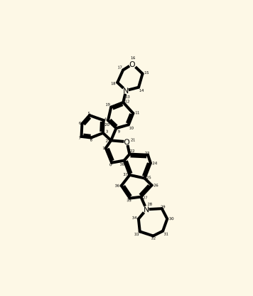 C1=CC(c2ccccc2)(c2ccc(N3CCOCC3)cc2)Oc2ccc3cc(N4CCCCCC4)ccc3c21